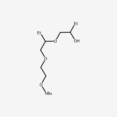 CCCCOCCOCC(CC)OCC(O)CC